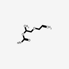 C=CCOCC(C)OC(=O)CCC